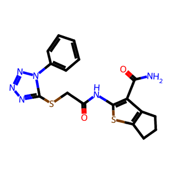 NC(=O)c1c(NC(=O)CSc2nnnn2-c2ccccc2)sc2c1CCC2